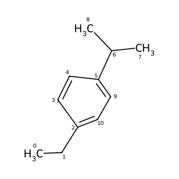 CCc1[c]cc(C(C)C)cc1